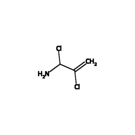 C=C(Cl)C(N)Cl